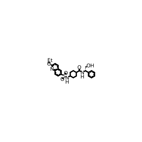 CCOc1ccc2cc(S(=O)(=O)NC3CCC(C(=O)N[C@H](CO)c4ccccc4)CC3)ccc2n1